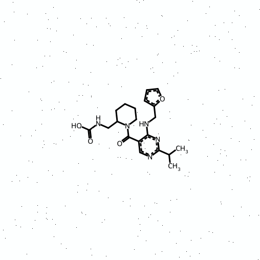 CC(C)c1ncc(C(=O)N2CCCCC2CNC(=O)O)c(NCc2ccco2)n1